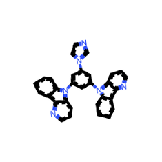 c1ccc2c(c1)c1ncccc1n2-c1cc(-n2ccnc2)cc(-n2c3ccccc3c3ncccc32)c1